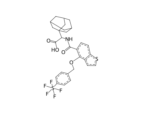 O=C(NC(C(=O)O)C12CC3CC(CC(C3)C1)C2)c1ccc2sccc2c1OCc1ccc(S(F)(F)(F)(F)F)cc1